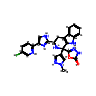 Cn1cc(C2(c3n[nH]c(=O)o3)N[C@@H](c3nc(-c4ccc(F)cn4)c[nH]3)Cc3c2[nH]c2ccccc32)cn1